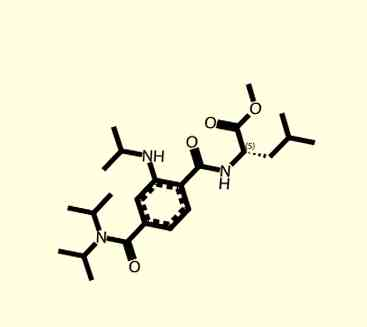 COC(=O)[C@H](CC(C)C)NC(=O)c1ccc(C(=O)N(C(C)C)C(C)C)cc1NC(C)C